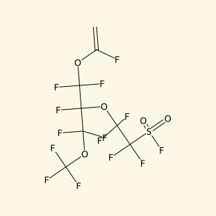 C=C(F)OC(F)(F)C(F)(OC(F)(F)C(F)(F)S(=O)(=O)F)C(F)(F)OC(F)(F)F